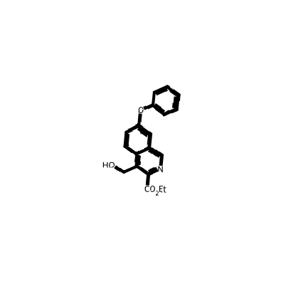 CCOC(=O)c1ncc2cc(Oc3ccccc3)ccc2c1CO